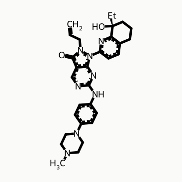 C=CCn1c(=O)c2cnc(Nc3ccc(N4CCN(C)CC4)cc3)nc2n1-c1ccc2c(n1)[C@@](O)(CC)CCC2